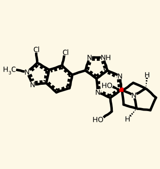 Cn1nc2ccc(-c3n[nH]c4nc(N5[C@@H]6CC[C@H]5C[C@@H](O)C6)c(CO)nc34)c(Cl)c2c1Cl